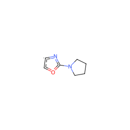 [c]1coc(N2CCCC2)n1